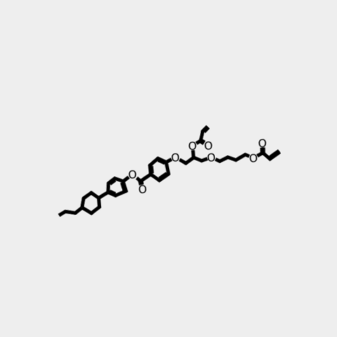 C=CC(=O)OCCCCOCC(COc1ccc(C(=O)Oc2ccc(C3CCC(CCC)CC3)cc2)cc1)OC(=O)C=C